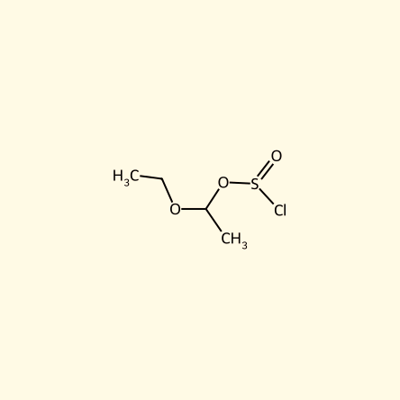 CCOC(C)OS(=O)Cl